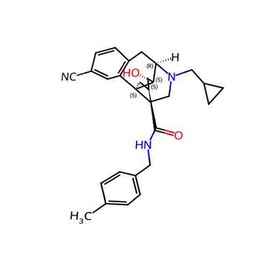 Cc1ccc(CNC(=O)[C@H]2C[C@]34CCN(CC5CC5)[C@H](Cc5ccc(C#N)cc53)[C@]4(O)C2)cc1